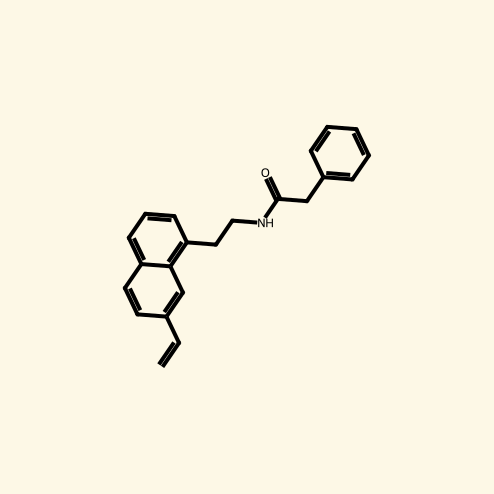 C=Cc1ccc2cccc(CCNC(=O)Cc3ccccc3)c2c1